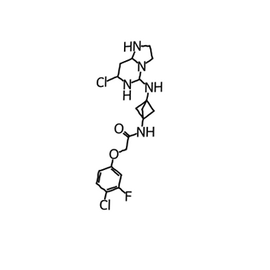 O=C(COc1ccc(Cl)c(F)c1)NC12CC(NC3NC(Cl)CC4NCCN43)(C1)C2